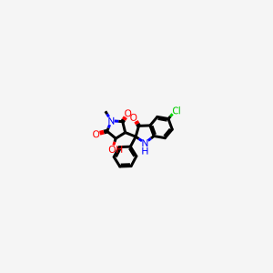 CN1C(=O)C(O)C(C2(c3ccccc3)Nc3ccc(Cl)cc3C2=O)C1=O